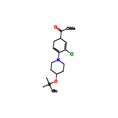 COC(=O)C1C=C(Cl)C(N2CCC(O[Si](C)(C)C(C)(C)C)CC2)=CC1